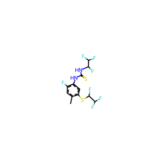 Cc1cc(F)c(NC(=S)NC(F)C(F)F)cc1SC(F)C(F)F